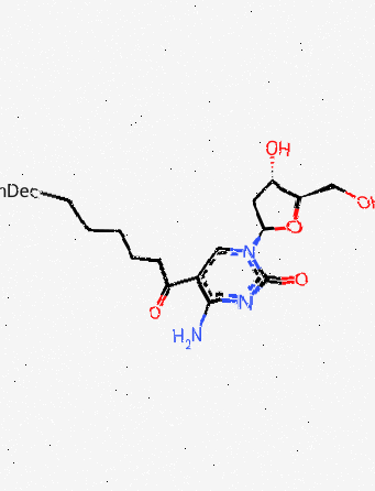 CCCCCCCCCCCCCCCC(=O)c1cn([C@H]2C[C@H](O)[C@@H](CO)O2)c(=O)nc1N